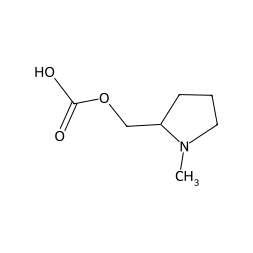 CN1CCCC1COC(=O)O